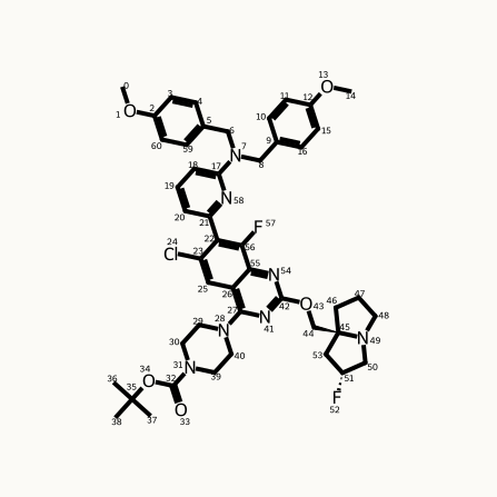 COc1ccc(CN(Cc2ccc(OC)cc2)c2cccc(-c3c(Cl)cc4c(N5CCN(C(=O)OC(C)(C)C)CC5)nc(OC[C@@]56CCCN5C[C@H](F)C6)nc4c3F)n2)cc1